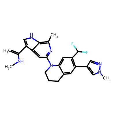 C=C(NC)c1c[nH]c2c(C)nc(N3CCCc4cc(-c5cnn(C)c5)c(C(F)F)cc43)cc12